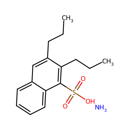 CCCc1cc2ccccc2c(S(=O)(=O)O)c1CCC.N